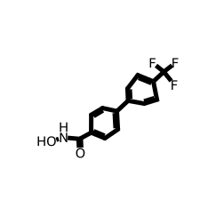 O=C(NO)c1ccc(-c2ccc(C(F)(F)F)cc2)cc1